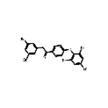 O=C(Cc1cc(Br)cc(Br)c1)c1ccc(Oc2c(Br)cc(Br)cc2Br)cc1